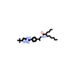 CCCCCCC(CCCC)C(=O)NCC(C)c1ccc(-c2nn3nc(C(C)(C)C)cc3[nH]2)cc1